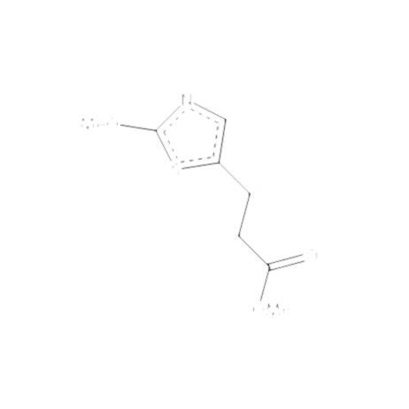 COC(=O)CCc1cnc(OC)s1